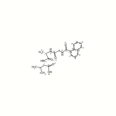 CC(C)[C@H](NC(=O)[C@H](C)NC(=O)CNC(=O)c1cccc2ccccc12)C(=O)O